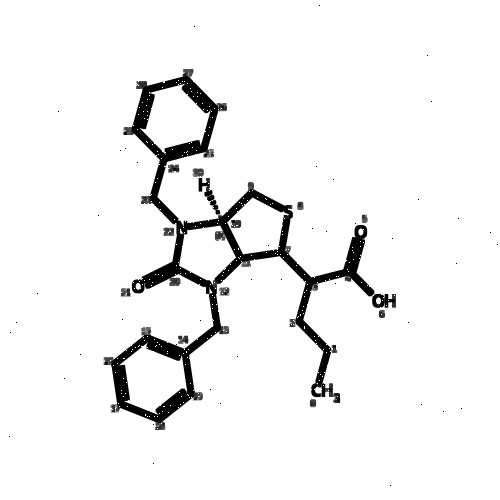 CCCC(C(=O)O)C1SC[C@H]2C1N(Cc1ccccc1)C(=O)N2Cc1ccccc1